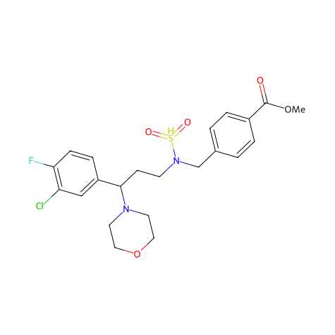 COC(=O)c1ccc(CN(CCC(c2ccc(F)c(Cl)c2)N2CCOCC2)[SH](=O)=O)cc1